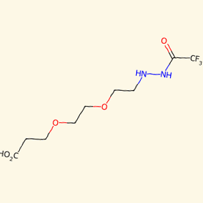 O=C(O)CCOCCOCCNNC(=O)C(F)(F)F